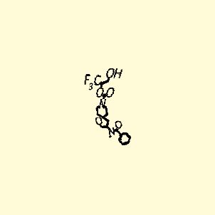 CN(C(=O)c1ccccc1)C1COC2(CCN(C(=O)OC(CO)C(F)(F)F)CC2)C1